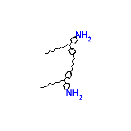 CCCCCCCCCC(c1ccc(N)cc1)c1ccc(CCCCCc2ccc(C(CCCCCCCCC)c3ccc(N)cc3)cc2)cc1